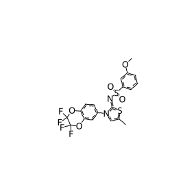 COc1cccc(S(=O)(=O)/N=c2\sc(C)cn2-c2ccc3c(c2)OC(F)(F)C(F)(F)O3)c1